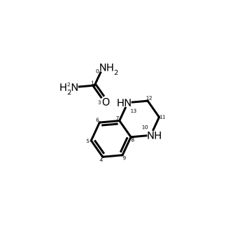 NC(N)=O.c1ccc2c(c1)NCCN2